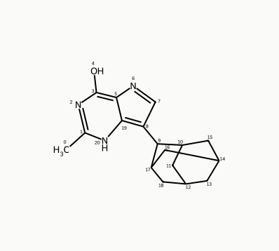 Cc1nc(O)c2ncc(C3C4CC5CC(C4)CC3C5)c-2[nH]1